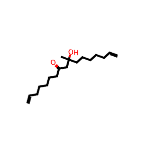 C=CCCCCCC(=O)CC(C)(O)CCCCCC=C